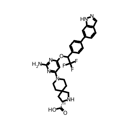 Nc1nc(OC(c2ccc(-c3ccc4cn[nH]c4c3)cc2)C(F)(F)F)cc(N2CCC3(CC2)CN[C@H](C(=O)O)C3)n1